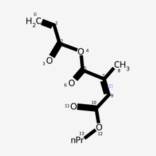 C=CC(=O)OC(=O)/C(C)=C\C(=O)OCCC